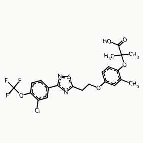 Cc1cc(OCCc2nc(-c3ccc(OC(F)(F)F)c(Cl)c3)ns2)ccc1OC(C)(C)C(=O)O